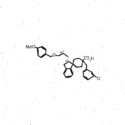 COc1ccc(COC[C@H](C)C[C@H]2Cc3ccccc3C23CCC(Cc2cccc(Cl)c2)(C(=O)O)CC3)cc1